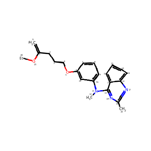 C=C(CCCOc1cccc(N(C)c2nc(C)nc3ccccc23)c1)OCC